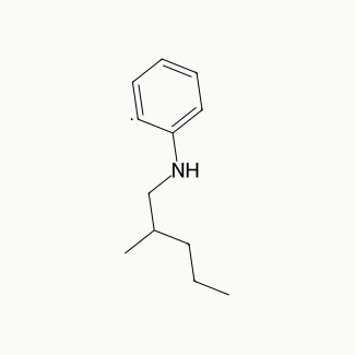 CCCC(C)CNc1[c]cccc1